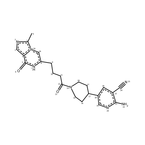 Cc1ncc2c(=O)[nH]c(CCCC(=O)N3CCC(c4cnc(N)c(C#N)c4)CC3)cn12